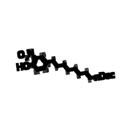 CCCCCCCCCCCCCCCCCCc1ccc(O)c([N+](=O)[O-])c1